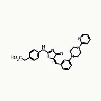 O=C(O)Cc1ccc(NC2=NC(=O)/C(=C\c3cccc(N4CCN(c5ccccn5)CC4)c3)S2)cc1